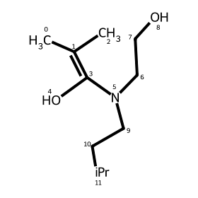 CC(C)=C(O)N(CCO)CCC(C)C